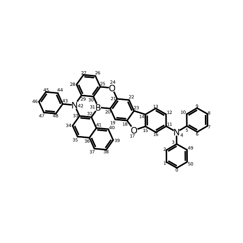 c1ccc(N(c2ccccc2)c2ccc3c(c2)oc2cc4c(cc23)Oc2cccc3c2B4c2c(ccc4ccccc24)N3c2ccccc2)cc1